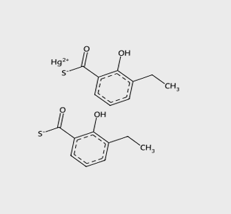 CCc1cccc(C(=O)[S-])c1O.CCc1cccc(C(=O)[S-])c1O.[Hg+2]